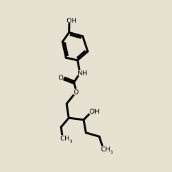 CCCC(O)C(CC)COC(=O)Nc1ccc(O)cc1